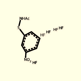 CC(=O)NSc1cccc([N+](=O)[O-])c1.F.F.F.F.F